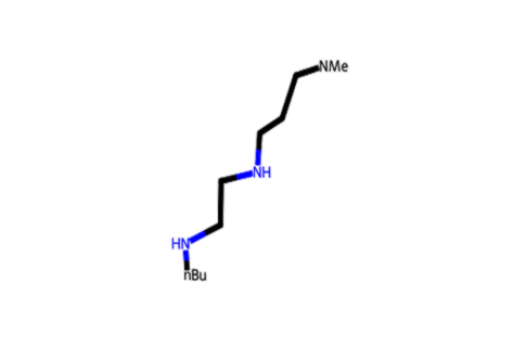 CCCCNCCNCCCNC